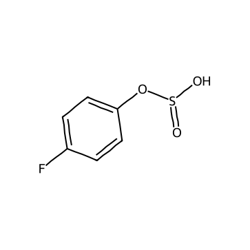 O=S(O)Oc1ccc(F)cc1